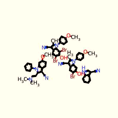 COc1ccc(-n2c(C)c(C#N)c3cc(Br)c(O)c(Br)c32)cc1.COc1ccc(-n2c(C)c(C#N)c3cc(Br)c(O)cc32)cc1.COc1ccc2c(C#N)c(C=CN(C)C)n(-c3ccccc3)c2c1.N#Cc1c[nH]c2ccccc12